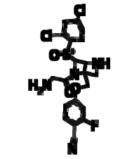 N#Cc1ccc(OCC23CNC2C([S+]([O-])c2ccc(Cl)cc2Cl)N3C(=O)CN)cc1F